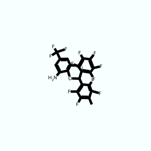 Cc1c(F)c(F)c(C(Oc2c(N)cc(C(F)(F)F)cc2N)c2c(F)c(F)c(F)c(F)c2F)c(F)c1F